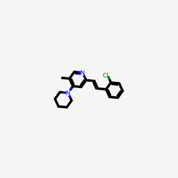 Cc1cnc(C=Cc2ccccc2Cl)cc1N1CCCCC1